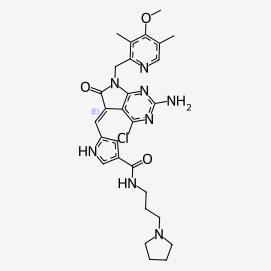 COc1c(C)cnc(CN2C(=O)/C(=C/c3cc(C(=O)NCCCN4CCCC4)c[nH]3)c3c(Cl)nc(N)nc32)c1C